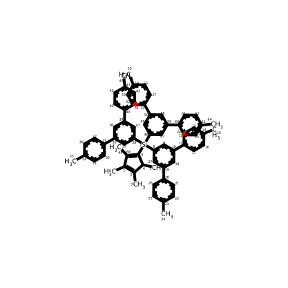 CC1=C(C)C(C)C([Si](c2cc(-c3ccc(C)cc3)cc(-c3ccc(C)cc3)c2)(c2cc(-c3ccc(C)cc3)cc(-c3ccc(C)cc3)c2)c2cc(-c3ccc(C)cc3)cc(-c3ccc(C)cc3)c2)=C1C